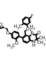 COc1cc(OC[C@H]2CO2)ccc1-c1ccc2c(c1COc1cc(F)ccc1C)N(C)C(=O)C(C)(C)N2